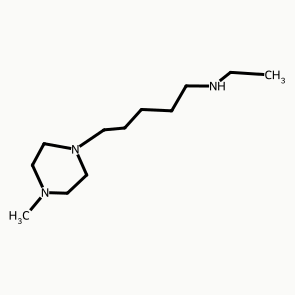 CCNCCCCCN1CCN(C)CC1